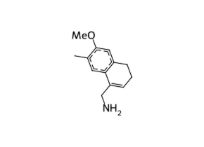 COc1cc2c(cc1C)C(CN)=CCC2